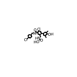 Cc1cc(-c2cc(Cl)c(C(=O)NCc3ccc(Cl)cc3)cc2CNC(=O)O)cc(C)c1O